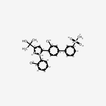 CC(C)(O)c1cc(-c2ccc(-c3cccc(S(C)(=O)=O)c3)cc2Cl)n(-c2ccccc2Cl)n1